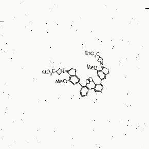 CCOC(=O)C1CN([C@@H]2CCc3cc(-c4cccc(-c5cccc(-c6cc7c(c(OC)c6)[C@H](N6CC(C(=O)OCC)C6)CC7)c5Cl)c4Cl)cc(OC)c32)C1